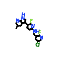 Cc1cnc2[nH]cc(-c3ccc(NCc4cc(Cl)cnc4F)nc3F)c2c1